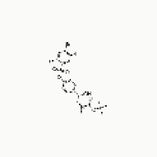 CN(CC(O)c1ccc(OS(=O)(=O)c2cc(F)c(Br)cc2F)cc1)C(=O)OC(C)(C)C